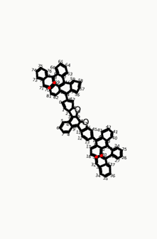 C1=CC2C3=c4ccccc4=C4c5ccc(-c6c7ccccc7c(-c7ccccc7-c7cccc8ccccc78)c7ccccc67)cc5OC4C3OC2C=C1c1c2ccccc2c(-c2ccccc2-c2cccc3ccccc23)c2ccccc12